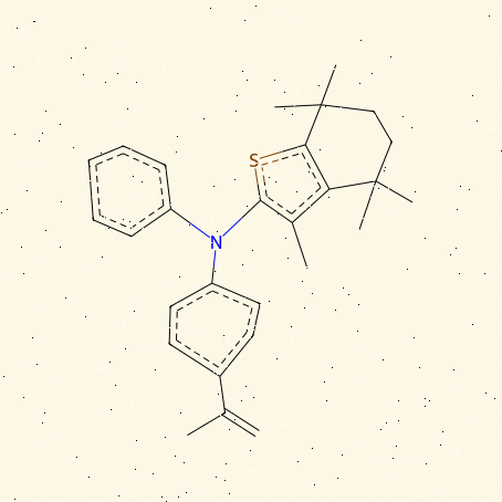 C=C(C)c1ccc(N(c2ccccc2)c2sc3c(c2C)C(C)(C)CCC3(C)C)cc1